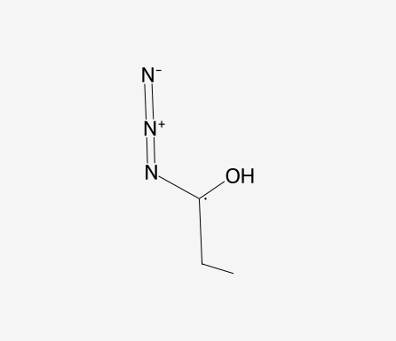 CC[C](O)N=[N+]=[N-]